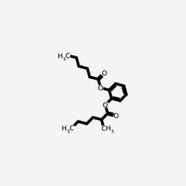 CCCCCC(=O)Oc1ccccc1OC(=O)C(C)CCCC